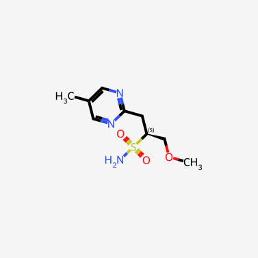 COC[C@H](Cc1ncc(C)cn1)S(N)(=O)=O